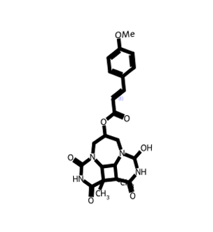 COc1ccc(/C=C/C(=O)OC2CN3C(=O)NC(=O)C4(C)C3C3N(C2)C(O)NC(=O)C34C)cc1